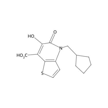 O=C(O)c1c(O)c(=O)n(CC2CCCC2)c2ccsc12